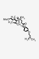 C\C=C(C)/C(=C(C)\C=C\OC)S(=O)(=O)N(C)CCC(=O)Nc1ccc(OCCN(C)C)cc1